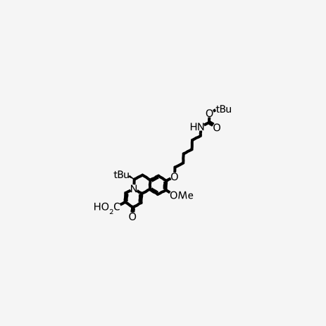 COc1cc2c(cc1OCCCCCCNC(=O)OC(C)(C)C)C[C@H](C(C)(C)C)n1cc(C(=O)O)c(=O)cc1-2